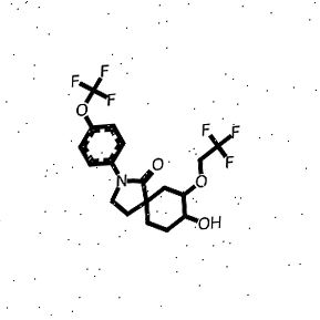 O=C1N(c2ccc(OC(F)(F)F)cc2)CCC12CCC(O)C(OCC(F)(F)F)C2